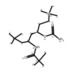 CC(C)(C)CC(C[C@@H](CC[Si](C)(C)C)OC(N)=O)NC(=O)C(C)(C)C